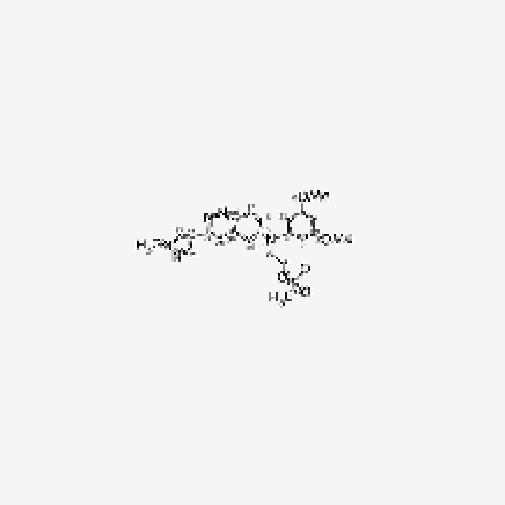 COc1cc(OC)cc(N(CCOS(C)(=O)=O)c2ccc3nnc(-c4cnn(C)c4)cc3c2)c1